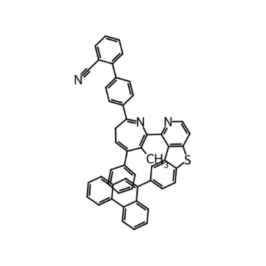 CC1=C(c2nccc3sc4ccc(-c5cc6ccccc6c6ccccc56)cc4c23)N=C(c2ccc(-c3ccccc3C#N)cc2)CC=C1c1ccccc1